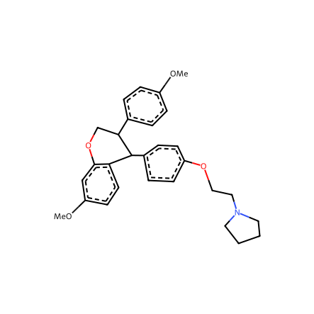 COc1ccc(C2COc3cc(OC)ccc3C2c2ccc(OCCN3CCCC3)cc2)cc1